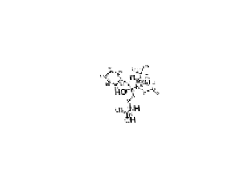 CC(C)CN(C(O)(CCNC(=O)O)Cc1ccccc1)S(=O)(=O)C(C)(C)C